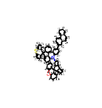 c1ccc2c(c1)Oc1ccccc1C21c2ccccc2-c2ccc(N(c3ccc(-c4ccc5c(ccc6ccccc65)c4)cc3)c3cccc4c3-c3ccccc3C43c4ccccc4Sc4ccccc43)cc21